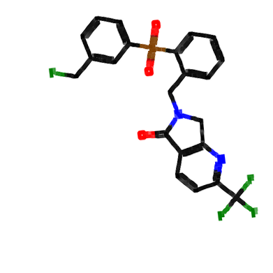 O=C1c2ccc(C(F)(F)F)nc2CN1Cc1ccccc1S(=O)(=O)c1cccc(CF)c1